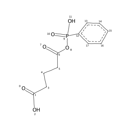 O=C(O)CCCC(=O)OP(=O)(O)c1ccccc1